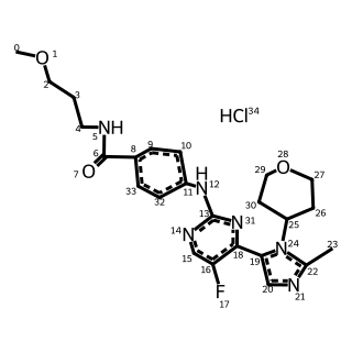 COCCCNC(=O)c1ccc(Nc2ncc(F)c(-c3cnc(C)n3C3CCOCC3)n2)cc1.Cl